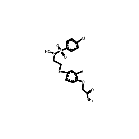 NC(=O)COc1ccc(SCCN(O)S(=O)(=O)c2ccc(Cl)cc2)cc1F